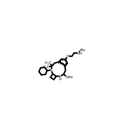 CSC1Cc2cc(cc(OCCNC(C)(C)C)c2)CC(C)(C)N(C2CCCCC2)C2CCC2N1